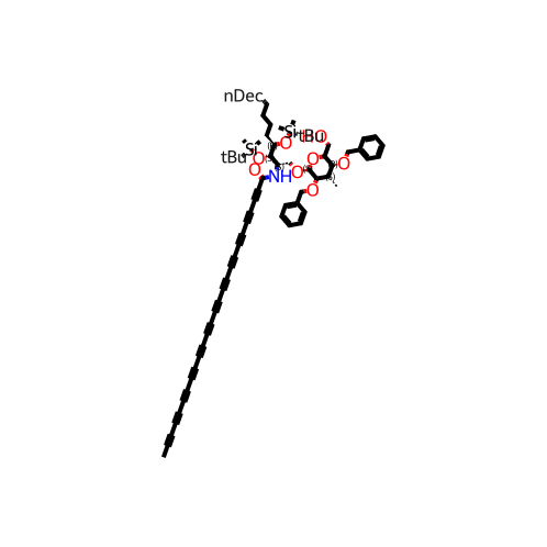 CC#CC#CC#CC#CC#CC#CC#CC#CC#CC#CC#CC#CC(=O)N[C@@H](CO[C@H]1OC(CO)[C@H](OCc2ccccc2)[C@H](C)C1OCc1ccccc1)[C@H](O[Si](C)(C)C(C)(C)C)[C@@H](CCCCCCCCCCCCCC)O[Si](C)(C)C(C)(C)C